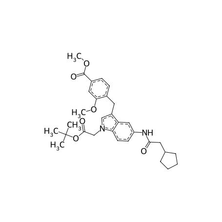 COC(=O)c1ccc(Cc2cn(CC(=O)OC(C)(C)C)c3ccc(NC(=O)CC4CCCC4)cc23)c(OC)c1